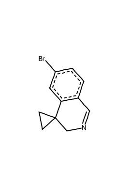 Brc1ccc2c(c1)C1(CC1)CN=C2